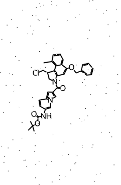 Cc1cccc2c(OCc3ccccc3)cc3c(c12)C(CCl)CN3C(=O)c1cc2ccc(NC(=O)OC(C)(C)C)cn2c1